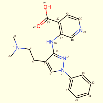 CN(C)CCc1cn(-c2ccccc2)nc1Nc1cnccc1C(=O)O